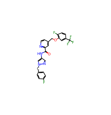 O=C(Nc1cnn(Cc2ccc(F)cc2)c1)c1cc(COc2cc(C(F)(F)F)ccc2F)ccn1